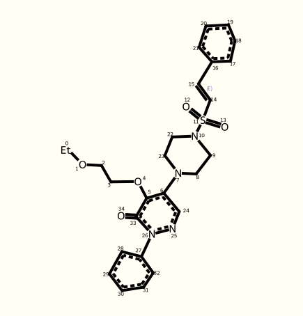 CCOCCOc1c(N2CCN(S(=O)(=O)/C=C/c3ccccc3)CC2)cnn(-c2ccccc2)c1=O